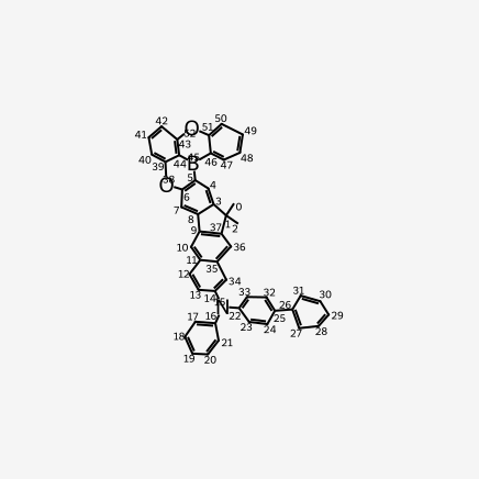 CC1(C)c2cc3c(cc2-c2cc4ccc(N(c5ccccc5)c5ccc(-c6ccccc6)cc5)cc4cc21)Oc1cccc2c1B3c1ccccc1O2